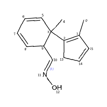 CC1=C(C2(C)C=CC=CC2/C=N/O)CC=C1